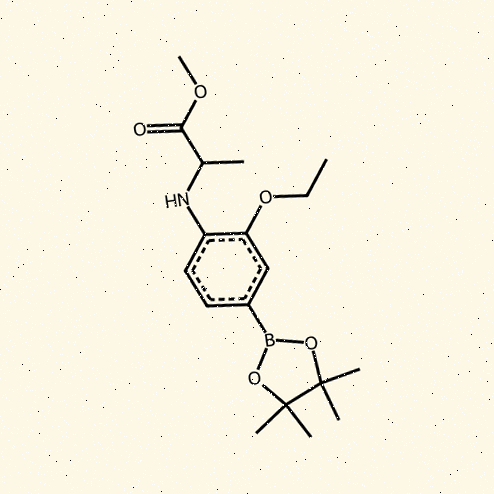 CCOc1cc(B2OC(C)(C)C(C)(C)O2)ccc1NC(C)C(=O)OC